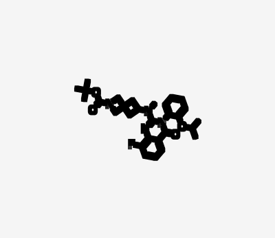 CC(C)Oc1ccccc1-n1c(N(C)C2CC3(C2)CN(C(=O)OC(C)(C)C)C3)nc2c(F)cccc2c1=O